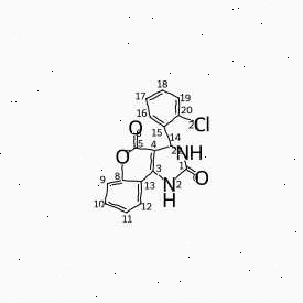 O=C1Nc2c(c(=O)oc3ccccc23)C(c2ccccc2Cl)N1